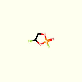 O=P1(F)OCC(F)O1